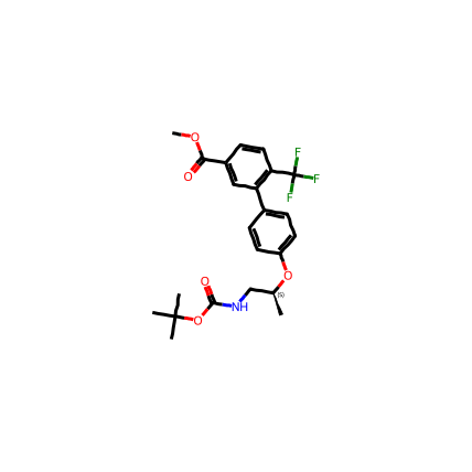 COC(=O)c1ccc(C(F)(F)F)c(-c2ccc(O[C@@H](C)CNC(=O)OC(C)(C)C)cc2)c1